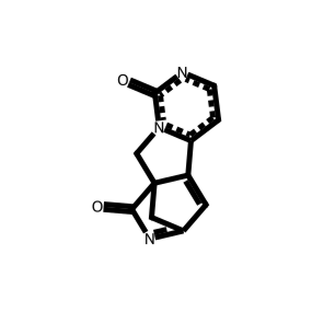 O=C1N=C2C=C3c4ccnc(=O)n4CC13C2